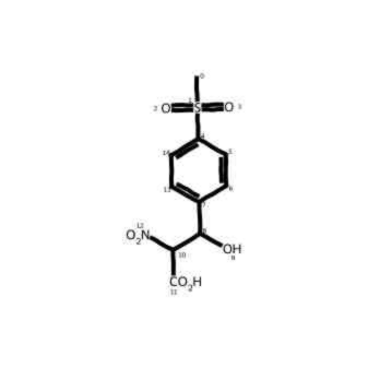 CS(=O)(=O)c1ccc(C(O)C(C(=O)O)[N+](=O)[O-])cc1